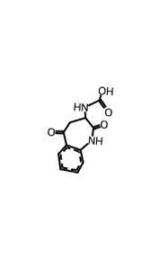 O=C(O)NC1CC(=O)c2ccccc2NC1=O